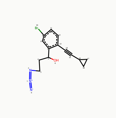 [N-]=[N+]=NCCC(O)c1cc(Br)ccc1C#CC1CC1